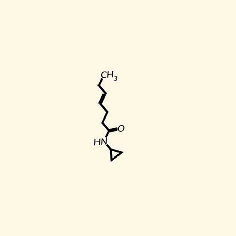 CCC=CCCC(=O)NC1CC1